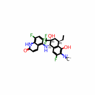 [C-]#[N+]c1c(F)cc2c(c1O)[C@H](CC)C[C@](O)(C(F)(F)F)[C@H]2Nc1ccc(F)c2[nH]c(=O)ccc12